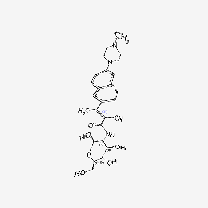 C/C(=C(/C#N)C(=O)N[C@H]1C(O)O[C@H](CO)[C@@H](O)[C@@H]1O)c1ccc2cc(N3CCN(C)CC3)ccc2c1